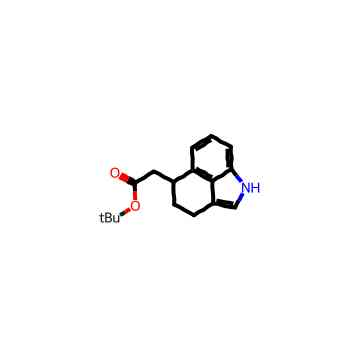 CC(C)(C)OC(=O)CC1CCc2c[nH]c3cccc1c23